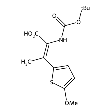 COc1ccc(/C(C)=C(\NC(=O)OC(C)(C)C)C(=O)O)s1